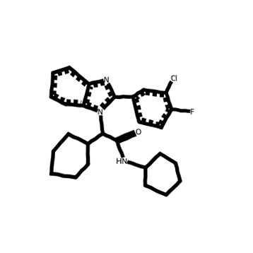 O=C(NC1CCCCC1)C(C1CCCCC1)n1c(-c2ccc(F)c(Cl)c2)nc2ccccc21